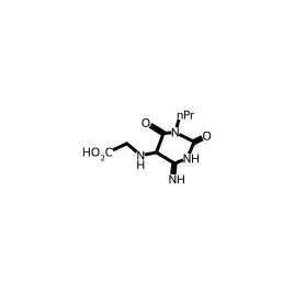 CCCN1C(=O)NC(=N)C(NCC(=O)O)C1=O